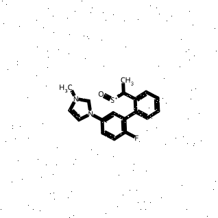 CC([S+]=O)c1ccccc1-c1cc(N2C=CN(C)C2)ccc1F